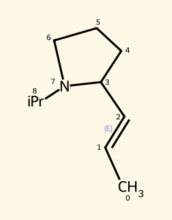 C/C=C/C1CCCN1C(C)C